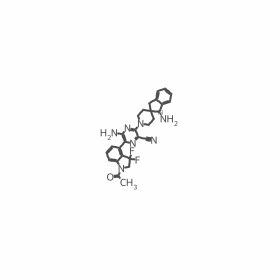 CC(=O)N1CC(F)(F)c2c(-c3nc(C#N)c(N4CCC5(CC4)Cc4ccccc4[C@H]5N)nc3N)cccc21